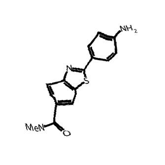 CNC(=O)c1ccc2nc(-c3ccc(N)cc3)sc2c1